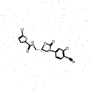 N#Cc1ccc(N2C[C@H](CNC(=O)C3CC=C(Cl)S3)OC2=O)cc1Cl